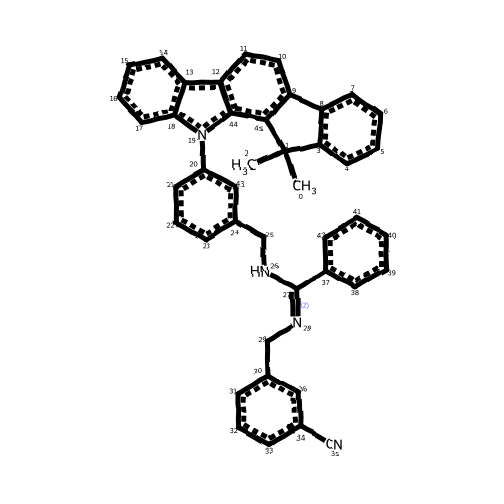 CC1(C)c2ccccc2-c2ccc3c4ccccc4n(-c4cccc(CN/C(=N\Cc5cccc(C#N)c5)c5ccccc5)c4)c3c21